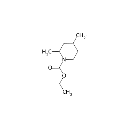 [CH2]C1CCN(C(=O)OCC)C(C)C1